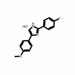 COc1ccc(-c2c[nH]c(-c3ccc(F)cc3)n2)cc1.Cl